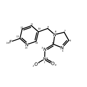 O=[N+]([O-])N=C1N=CCN1Cc1ccc(F)nc1